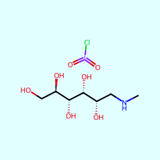 CNC[C@H](O)[C@@H](O)[C@H](O)[C@H](O)CO.O=I(=O)Cl